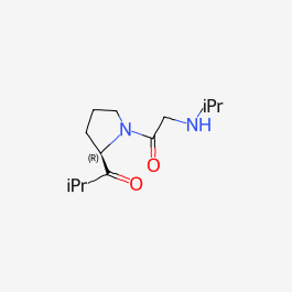 CC(C)NCC(=O)N1CCC[C@@H]1C(=O)C(C)C